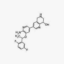 CC(Oc1cc(-c2cnc3c(c2)CNCC3O)cnc1N)c1cc(F)ccc1F